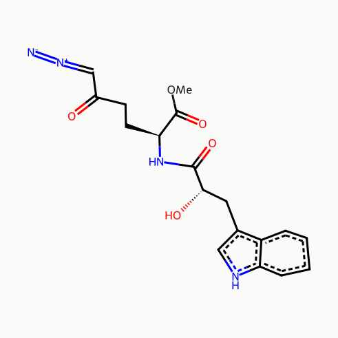 COC(=O)[C@H](CCC(=O)C=[N+]=[N-])NC(=O)[C@@H](O)Cc1c[nH]c2ccccc12